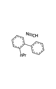 C#N.CCCc1ccccc1-c1ccccc1